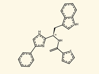 C=C(N[C@H](Cc1c[nH]c2ccccc12)c1nc(-c2ccccc2)c[nH]1)c1cccs1